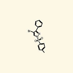 Cc1ccc(S(=O)(=O)n2cc(Br)c(-c3ccccc3)n2)cc1